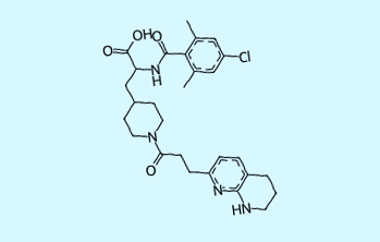 Cc1cc(Cl)cc(C)c1C(=O)NC(CC1CCN(C(=O)CCc2ccc3c(n2)NCCC3)CC1)C(=O)O